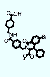 COC(=O)c1c(-c2ccccc2)c2cc(Br)ccc2c(=O)n1Cc1ccc(C(=O)NCC2CCC(C(=O)O)CC2)cc1